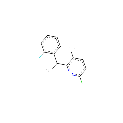 N#CC(c1ccccc1F)c1nc(Cl)ccc1[N+](=O)[O-]